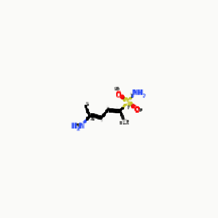 CC/C(=C\C=C(/C)N)S(N)(=O)=O